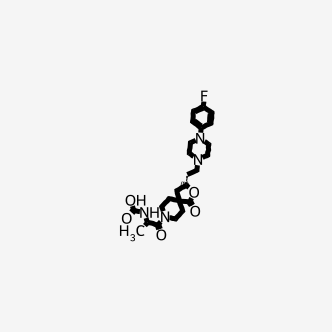 CC(NC(=O)O)C(=O)N1CCC2(CC1)C[C@H](CCN1CCN(c3ccc(F)cc3)CC1)OC2=O